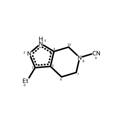 CCc1n[nH]c2c1CCN(C#N)C2